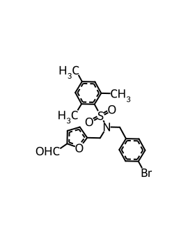 Cc1cc(C)c(S(=O)(=O)N(Cc2ccc(Br)cc2)Cc2ccc(C=O)o2)c(C)c1